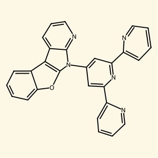 c1ccc(-c2cc(-n3c4ncccc4c4c5ccccc5oc43)cc(-c3ccccn3)n2)nc1